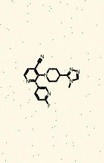 Cn1cnnc1C1CCN(c2c(C#N)ccnc2-c2ccc(F)nc2)CC1